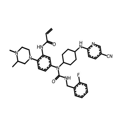 C=CC(=O)Nc1cc(N(C(=O)NCc2ccccc2F)C2CCC(Nc3ccc(C#N)cn3)CC2)ccc1N1CCN(C)C(C)C1